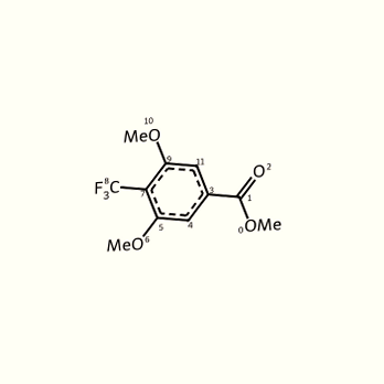 COC(=O)c1cc(OC)c(C(F)(F)F)c(OC)c1